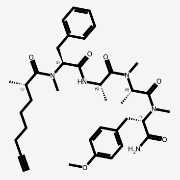 C#CCCCC[C@H](C)C(=O)N(C)[C@@H](Cc1ccccc1)C(=O)N[C@@H](C)C(=O)N(C)[C@@H](C)C(=O)N(C)[C@@H](Cc1ccc(OC)cc1)C(N)=O